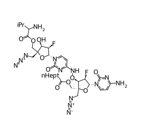 CCCCCCCC(=O)OC[C@@]1(CN=[N+]=[N-])O[C@@H](n2ccc(N)nc2=O)[C@H](F)[C@@H]1ONc1ccn([C@@H]2O[C@](CN=[N+]=[N-])(COC(=O)C(N)C(C)C)[C@@H](O)[C@H]2F)c(=O)n1